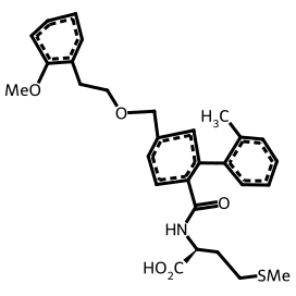 COc1ccccc1CCOCc1ccc(C(=O)N[C@@H](CCSC)C(=O)O)c(-c2ccccc2C)c1